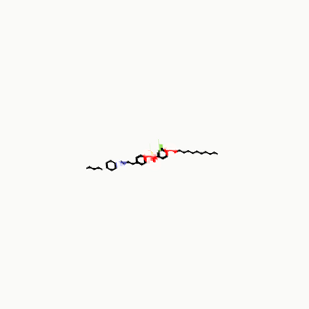 CCCCCCCCCCCOc1ccc(C(=O)Oc2ccc(CC/C=C/[C@H]3CC[C@H](CCCCC)CC3)cc2)c(F)c1F